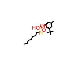 CCCCCCCC[PH](O)(O)Oc1ccc(C)cc1C(C)(C)C